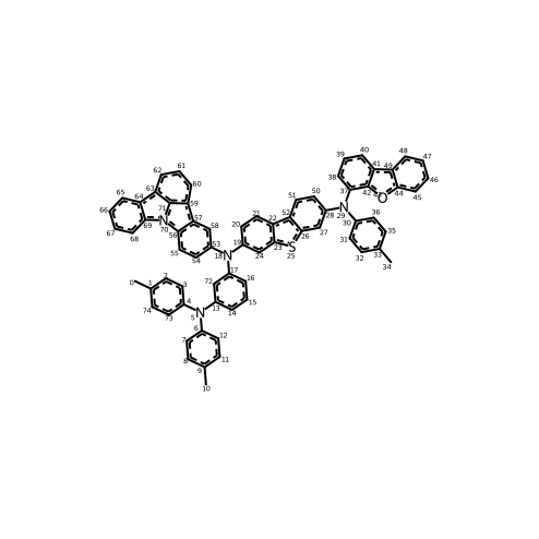 Cc1ccc(N(c2ccc(C)cc2)c2cccc(N(c3ccc4c(c3)sc3cc(N(c5ccc(C)cc5)c5cccc6c5oc5ccccc56)ccc34)c3ccc4c(c3)c3cccc5c6ccccc6n4c53)c2)cc1